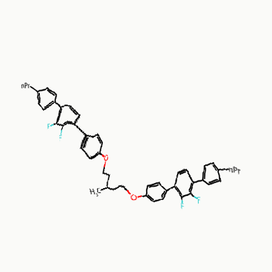 CCCc1ccc(-c2ccc(-c3ccc(OCCC(C)CCOc4ccc(-c5ccc(-c6ccc(CCC)cc6)c(F)c5F)cc4)cc3)c(F)c2F)cc1